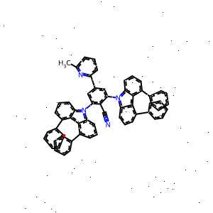 Cc1cccc(-c2cc(-n3c4cccc(-c5ccccc5)c4c4c(-c5ccccc5)cccc43)c(C#N)c(-n3c4cccc(-c5ccccc5)c4c4c(-c5ccccc5)cccc43)c2)n1